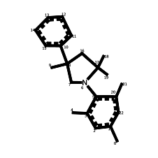 Cc1cc(C)c(N2CC(C)(c3ccccc3)CC2(C)C)c(C)c1